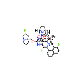 CC(C)[Si](C#Cc1c(F)ccc2cccc(-c3nc4c5c(nc(OC[C@@]67CCCN6C[C@H](F)C7)nc5c3F)N3C[C@H]5CC[C@@H]([C@H]3C[C@H]4C)N5C(=O)OC(C)(C)C)c12)(C(C)C)C(C)C